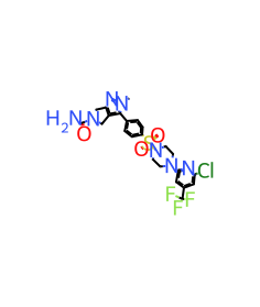 Cn1nc2c(c1-c1ccc(S(=O)(=O)N3CCN(c4cc(C(F)(F)F)cc(Cl)n4)CC3)cc1)CN(C(N)=O)C2